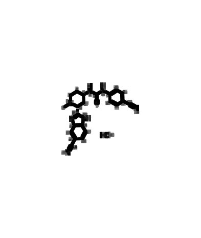 CN1CC[C@@H](NC(=O)Nc2ccc(C#N)cc2)C[C@@H]1c1nc2cc(C#N)ccc2[nH]1.Cl